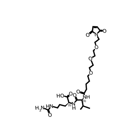 CC(C)[C@H](NC(=O)CCCCOCCOCCOCCN1C(=O)C=CC1=O)C(=O)N[C@@H](CCCNC(N)=O)C(=O)O